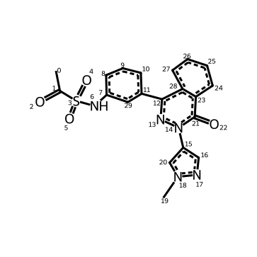 CC(=O)S(=O)(=O)Nc1cccc(-c2nn(-c3cnn(C)c3)c(=O)c3ccccc23)c1